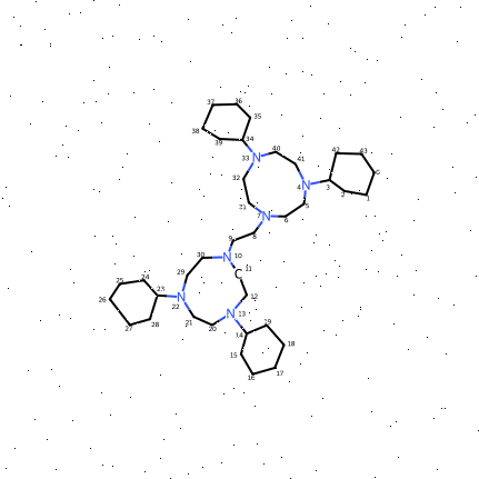 C1CCC(N2CCN(CCN3CCN(C4CCCCC4)CCN(C4CCCCC4)CC3)CCN(C3CCCCC3)CC2)CC1